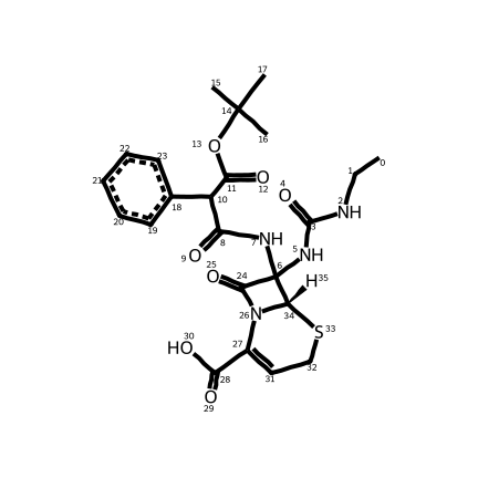 CCNC(=O)NC1(NC(=O)C(C(=O)OC(C)(C)C)c2ccccc2)C(=O)N2C(C(=O)O)=CCS[C@H]21